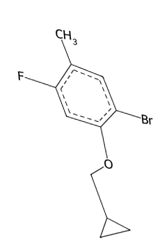 Cc1cc(Br)c(OCC2CC2)cc1F